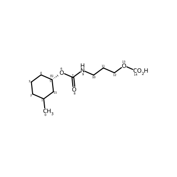 CC1CCC[C@H](OC(=O)NCCCOC(=O)O)C1